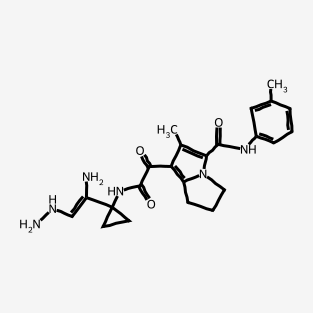 Cc1cccc(NC(=O)c2c(C)c(C(=O)C(=O)NC3(/C(N)=C/NN)CC3)c3n2CCC3)c1